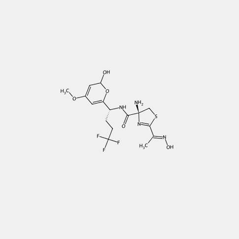 COC1=CC(O)OC([C@@H](CCC(F)(F)F)NC(=O)[C@]2(N)CSC(/C(C)=N/O)=N2)=C1